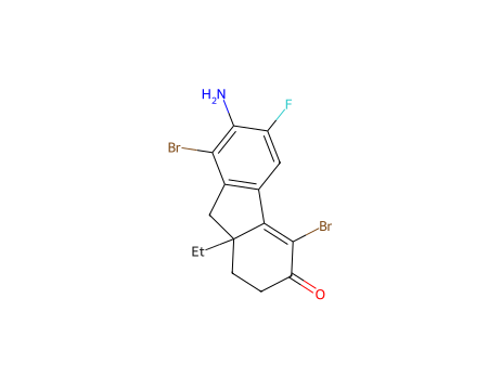 CCC12CCC(=O)C(Br)=C1c1cc(F)c(N)c(Br)c1C2